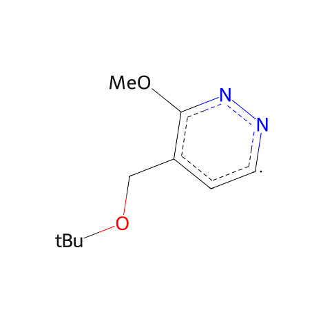 COc1nn[c]cc1COC(C)(C)C